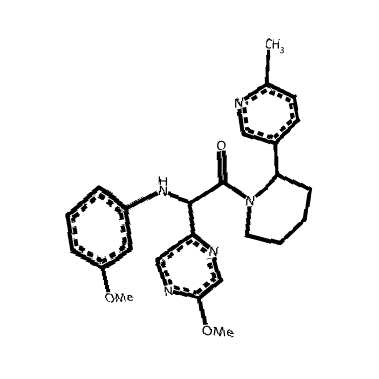 COc1cccc(NC(C(=O)N2CCCCC2c2ccc(C)nc2)c2cnc(OC)cn2)c1